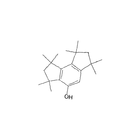 CC1(C)CC(C)(C)c2c1cc(O)c1c2C(C)(C)CC1(C)C